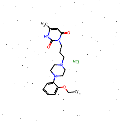 Cc1cc(=O)n(CCCN2CCN(c3ccccc3OCC(F)(F)F)CC2)c(=O)[nH]1.Cl